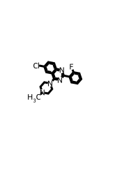 CN1CCN(c2nc(-c3ccccc3F)nc3ccc(Cl)cc23)CC1